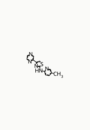 Cc1ccc(Nc2nc(-c3cnccn3)cs2)nc1